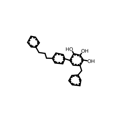 Oc1c(Cc2ccccc2)cc(-c2ccc(CCCc3ccccc3)cc2)c(O)c1O